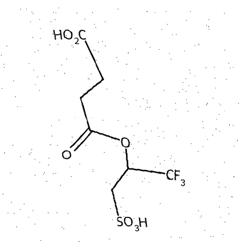 O=C(O)CCC(=O)OC(CS(=O)(=O)O)C(F)(F)F